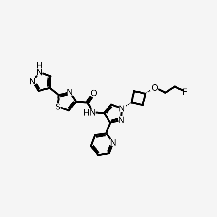 O=C(Nc1cn([C@H]2C[C@@H](OCCF)C2)nc1-c1ccccn1)c1csc(-c2cn[nH]c2)n1